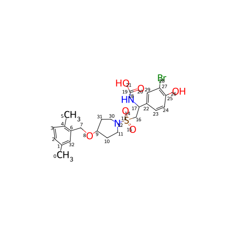 Cc1ccc(C)c(COC2CCN(S(=O)(=O)CC(NC(=O)O)c3ccc(O)c(Br)c3)CC2)c1